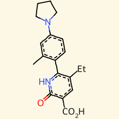 CCc1cc(C(=O)O)c(=O)[nH]c1-c1ccc(N2CCCC2)cc1C